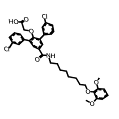 COc1cccc(OC)c1OCCCCCCCCNC(=O)c1cc(-c2cccc(Cl)c2)c(OCC(=O)O)c(-c2cccc(Cl)c2)c1